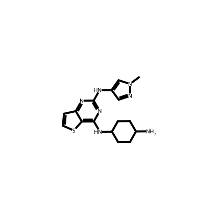 Cn1cc(Nc2nc(NC3CCC(N)CC3)c3sccc3n2)cn1